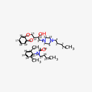 CCCCCN1CCN(CC(O)C2COc3ccccc3O2)CC1.CCCCN(C=O)c1c(C)cccc1C